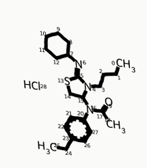 CCCCN1C(=NC2CCCCC2)SCC1N(C(C)=O)c1ccc(CC)cc1.Cl